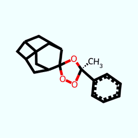 C[C@]1(c2ccccc2)OOC2(O1)C1CC3CC4CC2CC34C1